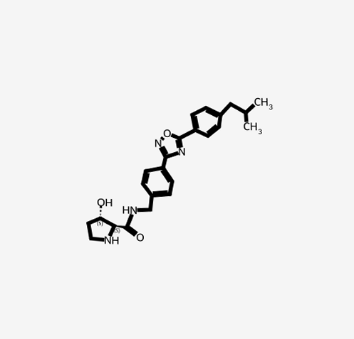 CC(C)Cc1ccc(-c2nc(-c3ccc(CNC(=O)[C@H]4NCC[C@@H]4O)cc3)no2)cc1